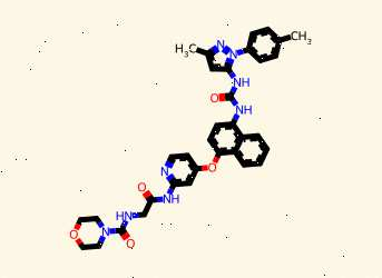 Cc1ccc(-n2nc(C)cc2NC(=O)Nc2ccc(Oc3ccnc(NC(=O)CNC(=O)N4CCOCC4)c3)c3ccccc23)cc1